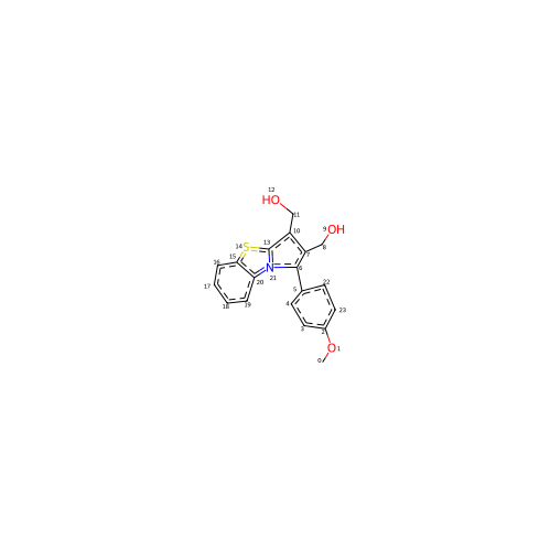 COc1ccc(-c2c(CO)c(CO)c3sc4ccccc4n23)cc1